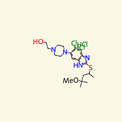 COC(C)(C)CC(C)Sc1nc2cc(Cl)c(N3CCN(CCO)CC3)cc2[nH]1.Cl.Cl